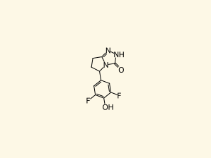 O=c1[nH]nc2n1C(c1cc(F)c(O)c(F)c1)CC2